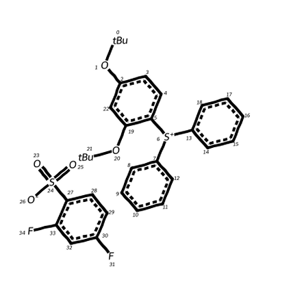 CC(C)(C)Oc1ccc([S+](c2ccccc2)c2ccccc2)c(OC(C)(C)C)c1.O=S(=O)([O-])c1ccc(F)cc1F